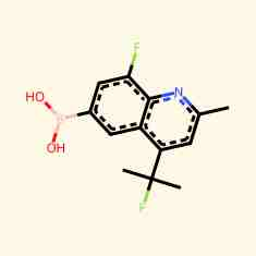 Cc1cc(C(C)(C)F)c2cc(B(O)O)cc(F)c2n1